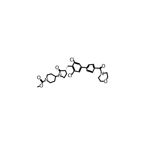 COC(=O)N1CCC(N2CC[C@@H](Cc3c(Cl)cc(-c4ccc(C(=O)N5CCOCC5)cc4)cc3Cl)C2=O)CC1